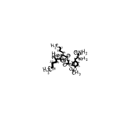 CC(=O)Oc1ccc(C[C@H](N)C(N)=O)cc1.CCCC[C@H](NC(=O)[C@@H](N)CCCC)C(=O)NCC(=O)O